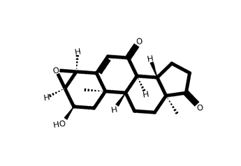 C[C@]12C[C@@H](O)[C@H]3O[C@H]3C1=CC(=O)[C@@H]1[C@@H]2CC[C@]2(C)C(=O)CC[C@@H]12